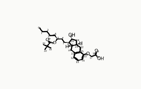 CCCCC[C@@H](CC[C@@H]1[C@H]2Cc3cccc(OCC(=O)O)c3C[C@H]2C[C@H]1O)OC(=O)C(C)(C)C